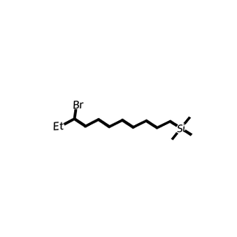 CCC(Br)CCCCCCCC[Si](C)(C)C